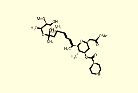 COC(=O)C[C@H]1C[C@@H](OC(=O)N2CCNCC2)[C@H](C)[C@@H](/C(C)=C/C=C/[C@@H](C)CC(C)(C)OC(C)[C@@H](OC)[C@@H](C)O)O1